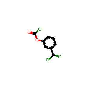 O=C(Cl)Oc1cccc(C(Cl)Cl)c1